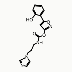 O=C(NCCCn1ccnc1)Oc1cc(-c2ccccc2O)on1